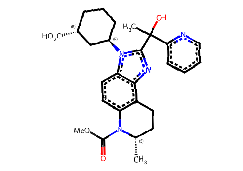 COC(=O)N1c2ccc3c(nc(C(C)(O)c4ccccn4)n3[C@@H]3CCC[C@@H](C(=O)O)C3)c2CC[C@@H]1C